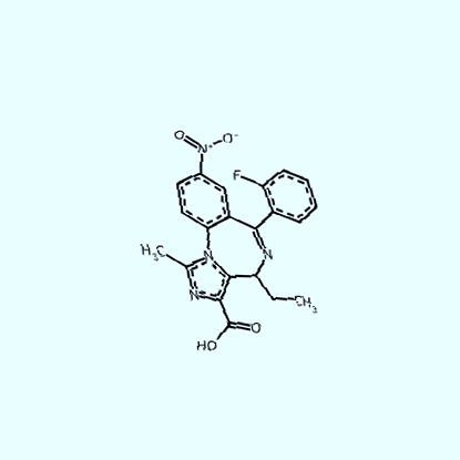 CCC1N=C(c2ccccc2F)c2cc([N+](=O)[O-])ccc2-n2c(C)nc(C(=O)O)c21